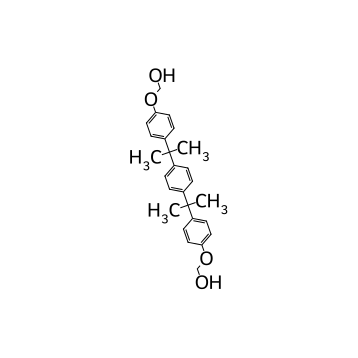 CC(C)(c1ccc(OCO)cc1)c1ccc(C(C)(C)c2ccc(OCO)cc2)cc1